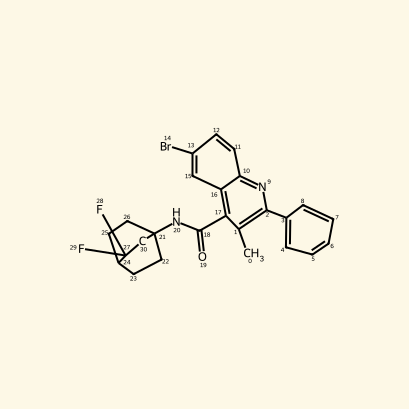 Cc1c(-c2ccccc2)nc2ccc(Br)cc2c1C(=O)NC12CCC(CC1)C(F)(F)C2